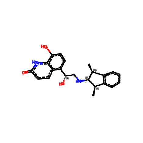 C[C@@H]1c2ccccc2[C@H](C)[C@@H]1NC[C@H](O)c1ccc(O)c2[nH]c(=O)ccc12